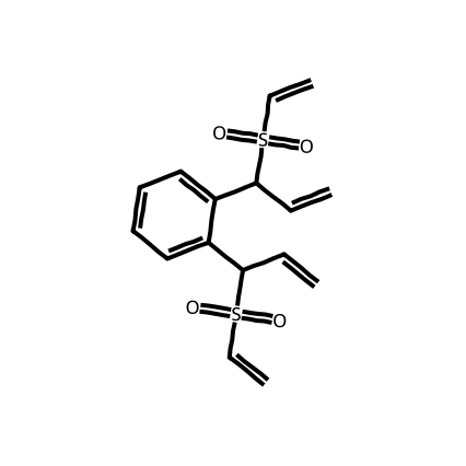 C=CC(c1ccccc1C(C=C)S(=O)(=O)C=C)S(=O)(=O)C=C